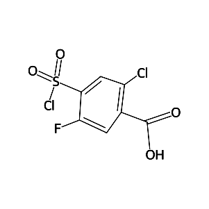 O=C(O)c1cc(F)c(S(=O)(=O)Cl)cc1Cl